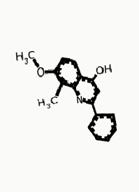 COc1ccc2c(O)cc(-c3ccccc3)nc2c1C